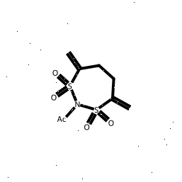 C=C1CCC(=C)S(=O)(=O)N(C(C)=O)S1(=O)=O